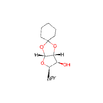 CCC[C@H]1O[C@@H]2OC3(CCCCC3)O[C@@H]2[C@H]1O